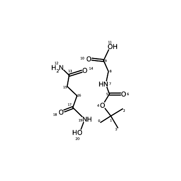 CC(C)(C)OC(=O)NCC(=O)O.NC(=O)CCC(=O)NO